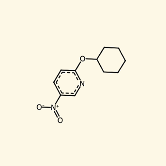 O=[N+]([O-])c1ccc(OC2CCCCC2)nc1